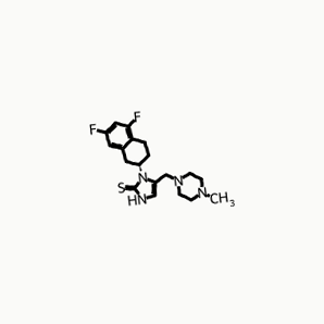 CN1CCN(Cc2c[nH]c(=S)n2[C@H]2CCc3c(F)cc(F)cc3C2)CC1